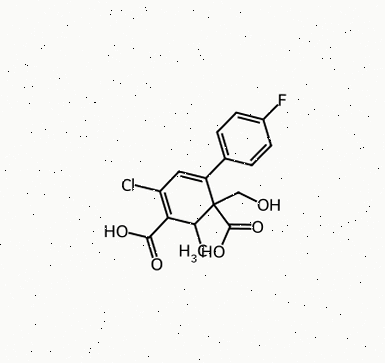 CC1C(C(=O)O)=C(Cl)C=C(c2ccc(F)cc2)C1(CO)C(=O)O